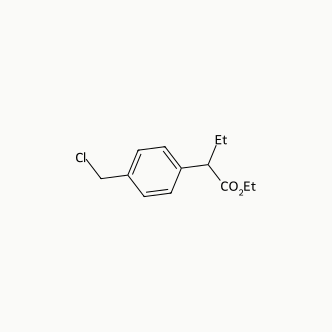 CCOC(=O)C(CC)c1ccc(CCl)cc1